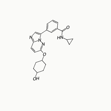 O=C(NC1CC1)c1cccc(-c2cnc3ccc(OC4CCC(O)CC4)nn23)c1